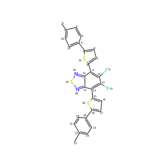 Cc1ccc(-c2ccc(-c3c(F)c(F)c(-c4ccc(-c5ccc(C)cc5)s4)c4nsnc34)s2)cc1